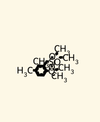 CCO[Si](Cc1c(OC)ccc(C)c1C)(OCC)OCC